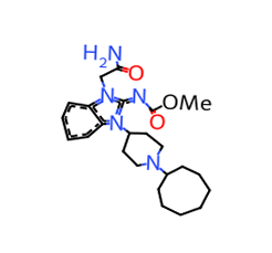 COC(=O)N=c1n(CC(N)=O)c2ccccc2n1C1CCN(C2CCCCCCC2)CC1